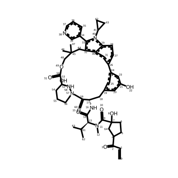 C=CC(=O)C1CCC(O)(C(=O)N(C)[C@H](C(=O)N[C@H]2Cc3cc(O)cc(c3)-c3ccc4c(c3)c(c(-c3cccnc3)n4C3CC3)CC(C)(C)COC(=O)[C@@]3(O)CCCN(N3)C2=O)C(C)C)C1